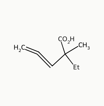 C=C=CC(C)(CC)C(=O)O